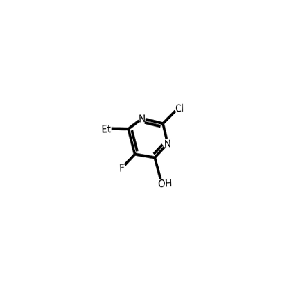 CCc1nc(Cl)nc(O)c1F